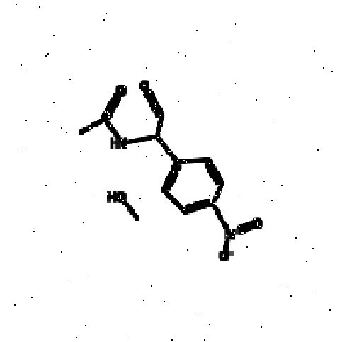 CC(=O)NC(C=O)c1ccc([N+](=O)[O-])cc1.CO